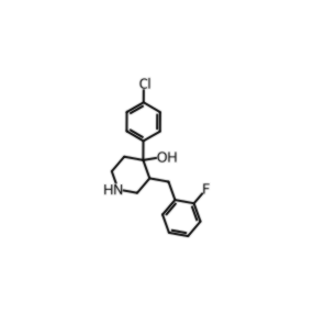 OC1(c2ccc(Cl)cc2)CCNCC1Cc1ccccc1F